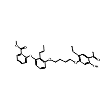 CCCc1c(OCCCCOc2cc(O)c(C(C)=O)cc2CC)cccc1Oc1ccccc1C(=O)OC